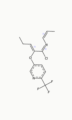 C\C=C/N=C(Cl)\C(=C\CC)Oc1ccc(C(F)(F)F)nc1